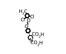 Cc1cc(Cl)c(OCCOc2ccc([C@H]3CCN(C(=O)O)CC3C(=O)O)cc2)c(Cl)c1